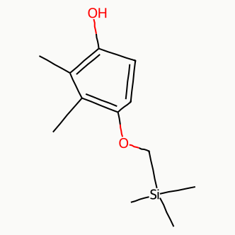 Cc1c(O)ccc(OC[Si](C)(C)C)c1C